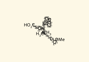 COc1ccccc1COCCCCCC[N+](C)(C)CCN(CCN1CCC(C(C(=O)I)(C2C=CC=CC2)C2C=CC=CC2)C1)c1ccc(CCCC(=O)O)cc1